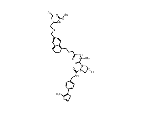 CC(=O)CC[C@@H](COCc1ccc2c(CCCC(=O)N[C@H](C(=O)N3C[C@H](O)C[C@H]3C(=O)NCc3ccc(-c4scnc4C)cc3)C(C)(C)C)cccc2c1)NC(=O)OC(C)(C)C